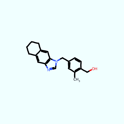 Cc1cc(Cn2cnc3cc4c(cc32)CCCC4)ccc1CO